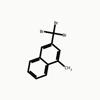 Cc1cc(C(Br)(Br)Br)cc2ccccc12